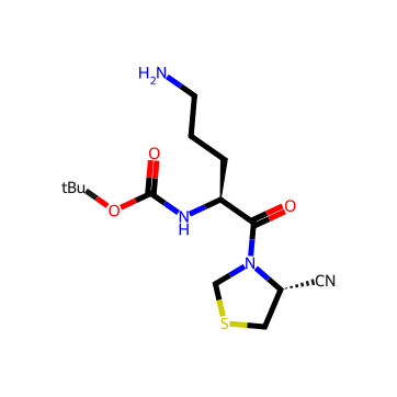 CC(C)(C)OC(=O)N[C@@H](CCCN)C(=O)N1CSC[C@H]1C#N